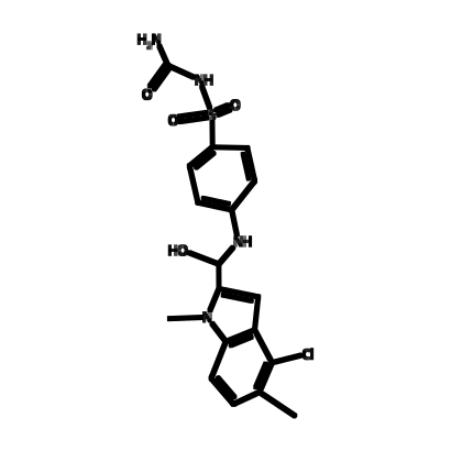 Cc1ccc2c(cc(C(O)Nc3ccc(S(=O)(=O)NC(N)=O)cc3)n2C)c1Cl